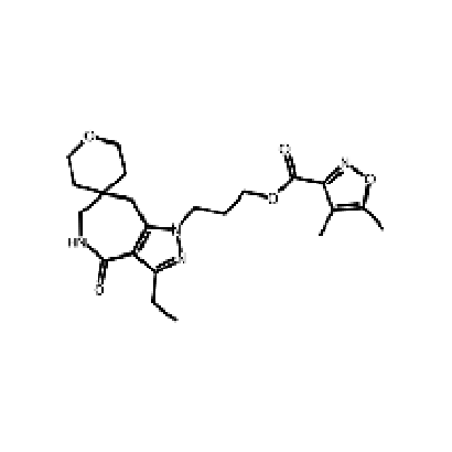 CCc1nn(CCCOC(=O)c2noc(C)c2C)c2c1C(=O)NCC1(CCOCC1)C2